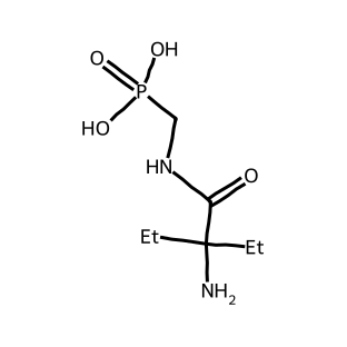 CCC(N)(CC)C(=O)NCP(=O)(O)O